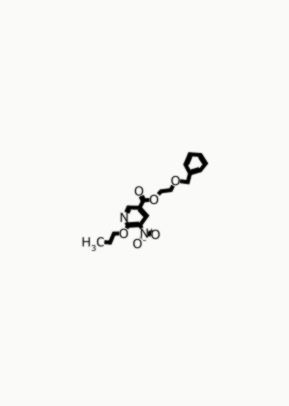 CCCOc1ncc(C(=O)OCCOCc2ccccc2)cc1[N+](=O)[O-]